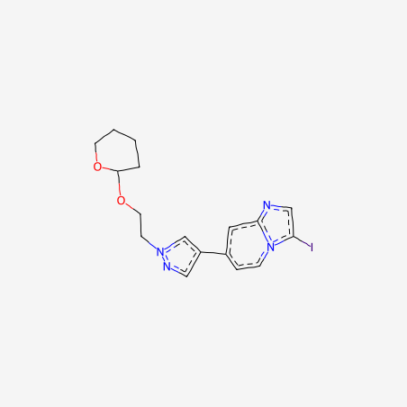 Ic1cnc2cc(-c3cnn(CCOC4CCCCO4)c3)ccn12